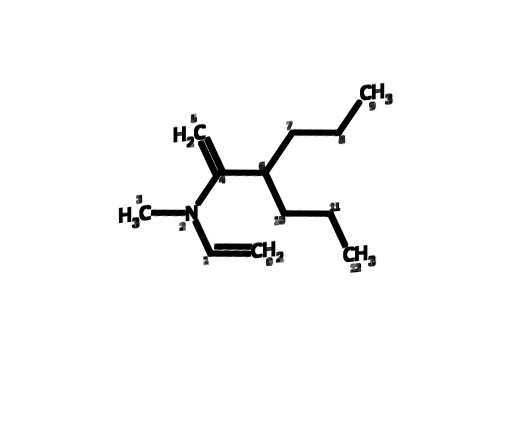 C=CN(C)C(=C)C(CCC)CCC